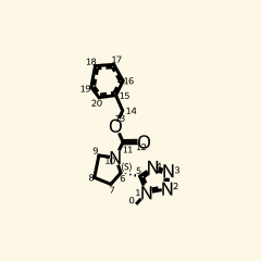 Cn1nnnc1[C@@H]1CCCN1C(=O)OCc1ccccc1